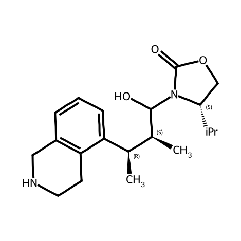 CC(C)[C@H]1COC(=O)N1C(O)[C@@H](C)[C@@H](C)c1cccc2c1CCNC2